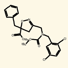 COC(=O)C1(Cc2ccccc2)CC(CN(Cc2cc(Cl)ccc2Cl)C(=O)OC(C)(C)C)=NO1